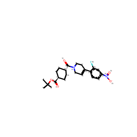 CC(C)(C)OC(=O)[C@H]1CC[C@H](C(=O)N2CC=C(c3ccc([N+](=O)[O-])cc3F)CC2)CC1